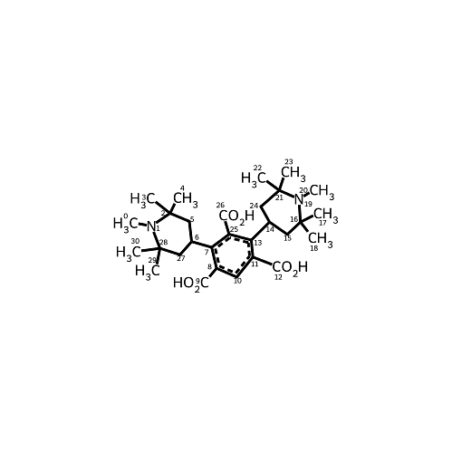 CN1C(C)(C)CC(c2c(C(=O)O)cc(C(=O)O)c(C3CC(C)(C)N(C)C(C)(C)C3)c2C(=O)O)CC1(C)C